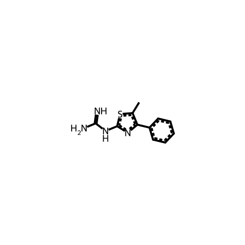 Cc1sc(NC(=N)N)nc1-c1ccccc1